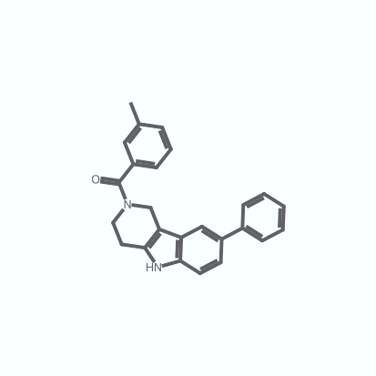 Cc1cccc(C(=O)N2CCc3[nH]c4ccc(-c5ccccc5)cc4c3C2)c1